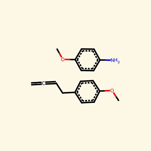 C=C=CCc1ccc(OC)cc1.COc1ccc(N)cc1